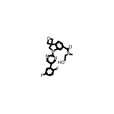 CN(CCO)C(=O)c1ccc2c(c1)N(c1ncc(-c3cc(F)ccc3F)cn1)CC21COC1